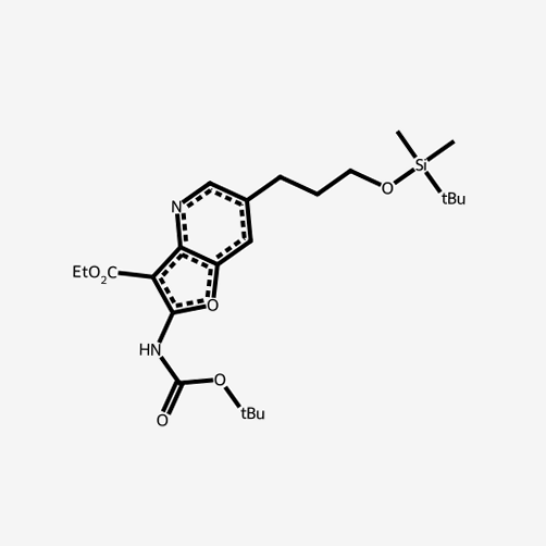 CCOC(=O)c1c(NC(=O)OC(C)(C)C)oc2cc(CCCO[Si](C)(C)C(C)(C)C)cnc12